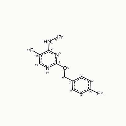 CC(C)Nc1nc(OCc2ccc(F)cc2)ncc1F